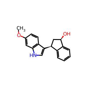 COc1ccc2c([C@H]3C[C@@H](O)c4ccccc43)c[nH]c2c1